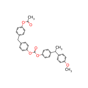 COc1ccc(C(C)c2ccc(OC(=O)Oc3ccc(Cc4ccc(OC(C)=O)cc4)cc3)cc2)cc1